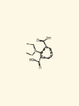 CCN(CC)c1c(C(=O)O)cccc1C(=O)O